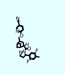 Cc1cc(F)c(C2CC=NN2C(=O)[C@H]2CC(COc3ccc(C#N)cn3)C3CC2C3)cc1F